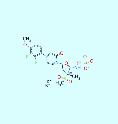 COc1ccc(-c2ccn(CC[C@](C)(C(=O)NOP(=O)([O-])[O-])S(C)(=O)=O)c(=O)c2)c(F)c1F.[K+].[K+]